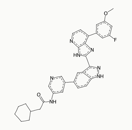 COc1cc(F)cc(-c2ccnc3[nH]c(-c4n[nH]c5ccc(-c6cncc(NC(=O)CC7CCCCC7)c6)cc45)nc23)c1